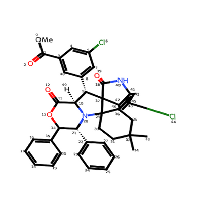 COC(=O)c1cc(Cl)cc([C@H]2[C@@H]3C(=O)OC(c4ccccc4)[C@@H](c4ccccc4)N3C3(CCC(C)(C)CC3)C23C(=O)Nc2cc(Cl)ccc23)c1